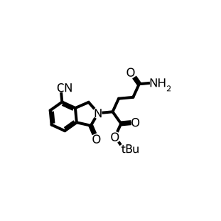 CC(C)(C)OC(=O)C(CCC(N)=O)N1Cc2c(C#N)cccc2C1=O